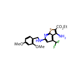 CCOC(=O)c1sc2nc(NCc3ccc(OC)cc3OC)cc(C(F)F)c2c1N